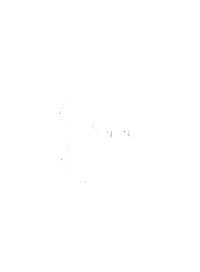 O.O=C([O-])COCC(=O)[O-].[Na+].[Na+]